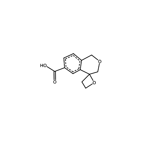 O=C(O)c1ccc2c(c1)C1(CCO1)COC2